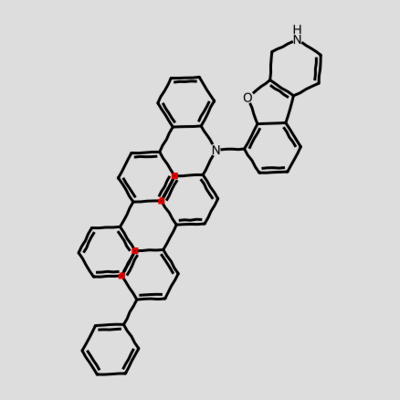 C1=Cc2c(oc3c(N(c4ccc(-c5ccc(-c6ccccc6)cc5)cc4)c4ccccc4-c4ccc(-c5ccccc5)cc4)cccc23)CN1